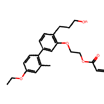 C=CC(=O)OCCOc1cc(-c2ccc(OCC)cc2C)ccc1CCCO